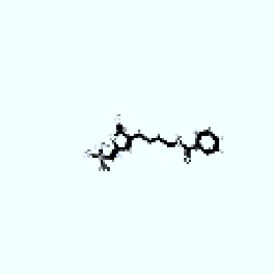 CC(C)[Si](/C=C1/C=C(CCCCOC(=O)c2ccccc2)C(=O)O1)(C(C)C)C(C)C